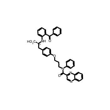 O=C(c1ccccc1)c1ccccc1N[C@@H](Cc1ccc(OCCCN(C(=O)c2cnc3ccccc3n2)c2ccccc2)cc1)C(=O)O